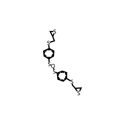 c1cc(SOSc2ccc(SCC3CS3)cc2)ccc1SCC1CS1